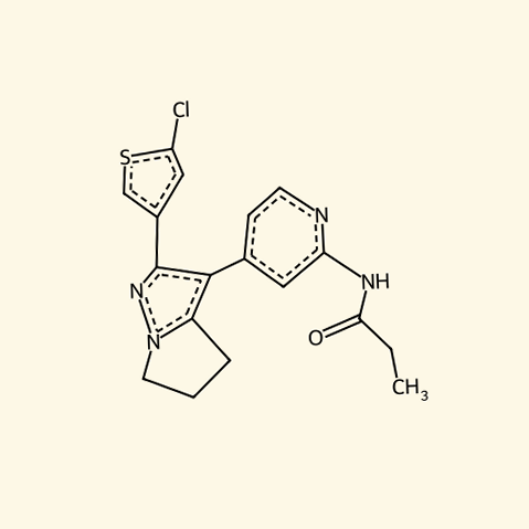 CCC(=O)Nc1cc(-c2c(-c3csc(Cl)c3)nn3c2CCC3)ccn1